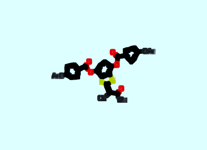 [C-]#[N+]C(C(=O)C(C)(C)C)=C1Sc2c(OC(=O)c3ccc(OC(C)=O)cc3)ccc(OC(=O)c3ccc(OC(C)=O)cc3)c2S1